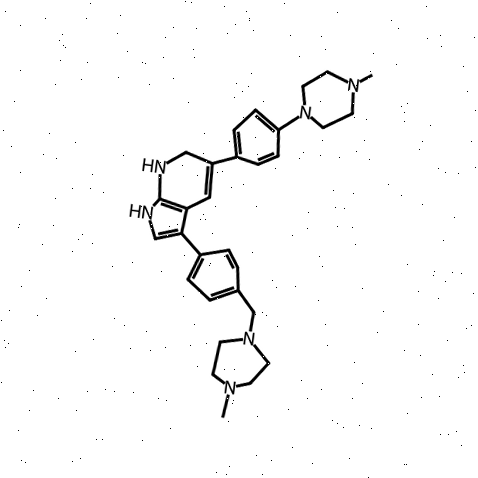 CN1CCN(Cc2ccc(-c3c[nH]c4c3C=C(c3ccc(N5CCN(C)CC5)cc3)CN4)cc2)CC1